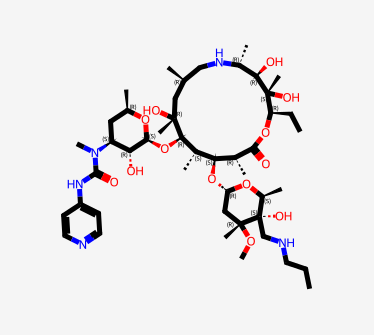 CCCNC[C@]1(O)[C@H](C)O[C@@H](O[C@H]2[C@H](C)[C@@H](O[C@@H]3O[C@H](C)C[C@H](N(C)C(=O)Nc4ccncc4)[C@H]3O)[C@](C)(O)C[C@@H](C)CN[C@H](C)[C@@H](O)[C@](C)(O)[C@@H](CC)OC(=O)[C@@H]2C)C[C@@]1(C)OC